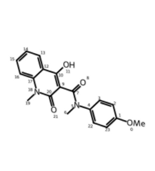 COc1ccc(N(C)C(=O)c2c(O)c3ccccc3n(C)c2=O)cc1